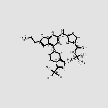 CCCc1cc2c(N3CCn4c(nnc4C(F)(F)F)C3)nc(NC3CCN(C(=O)OC(C)(C)C)C3)nc2s1